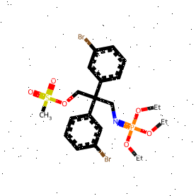 CCOP(=NCC(COS(C)(=O)=O)(c1cccc(Br)c1)c1cccc(Br)c1)(OCC)OCC